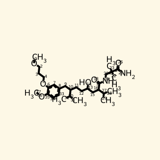 COCCCOc1cc(CC(CCC(O)CC(C(=O)NCC(C)(C)C(N)=O)C(C)C)C(C)C)ccc1OC